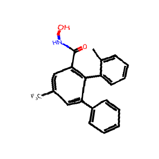 Cc1ccccc1-c1c(C(=O)NO)cc(C(F)(F)F)cc1-c1ccccc1